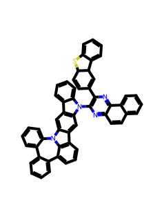 C1=CC2Sc3ccccc3C2C=C1c1nc2c(ccc3ccccc32)nc1-n1c2ccccc2c2cc3c(cc21)c1cccc2c1n3-c1ccccc1-c1ccccc1-2